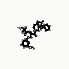 CN1N=C2CCN(C(=O)C(COc3cccc(C(F)(F)F)n3)NC(=O)C(C)(C)N)C[C@@]2(Cc2ccccc2)C1=O